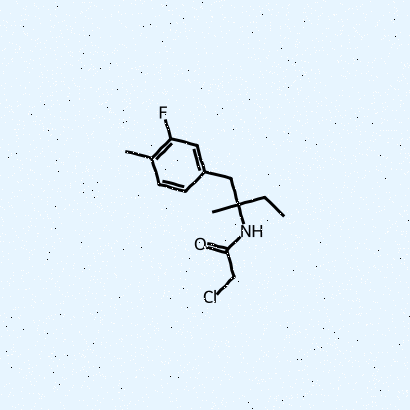 CCC(C)(Cc1ccc(C)c(F)c1)NC(=O)CCl